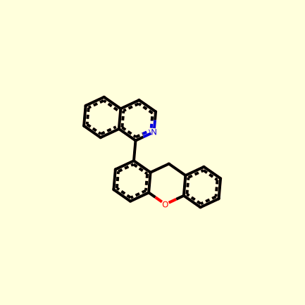 c1ccc2c(c1)Cc1c(cccc1-c1nccc3ccccc13)O2